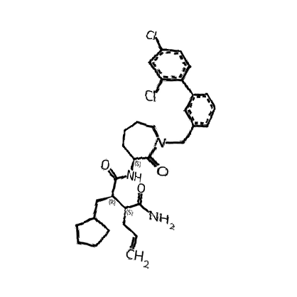 C=CC[C@H](C(N)=O)[C@@H](CC1CCCC1)C(=O)N[C@H]1CCCCN(Cc2cccc(-c3ccc(Cl)cc3Cl)c2)C1=O